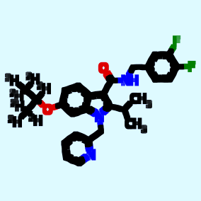 [2H]C([2H])([2H])C([2H])(Oc1ccc2c(C(=O)NCc3ccc(F)c(F)c3)c(C(C)C)n(Cc3ccccn3)c2c1)C([2H])([2H])[2H]